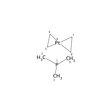 CP(C)C.[CH2]1[CH2][Pt]12[CH2][CH2]2